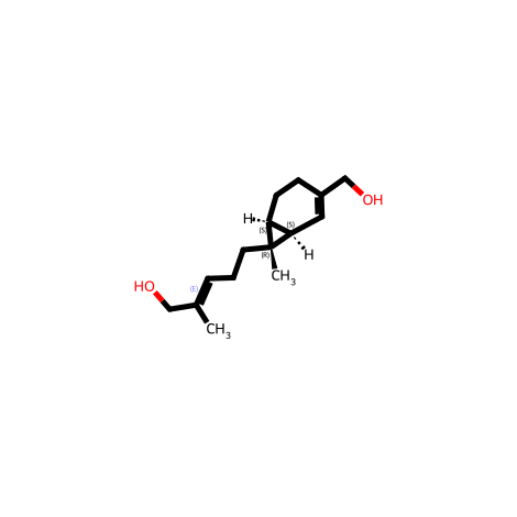 C/C(=C\CC[C@@]1(C)[C@@H]2C=C(CO)CC[C@@H]21)CO